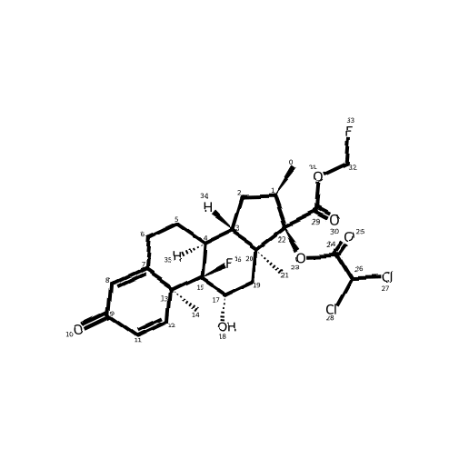 C[C@@H]1C[C@H]2[C@@H]3CCC4=CC(=O)C=C[C@]4(C)[C@@]3(F)[C@@H](O)C[C@]2(C)[C@@]1(OC(=O)C(Cl)Cl)C(=O)OCF